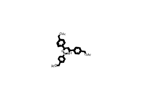 CC(=O)OCc1ccc(C2=CC(c3ccc(COC(C)=O)cc3)=NN(c3ccc(COC(C)=O)cc3)N2)cc1